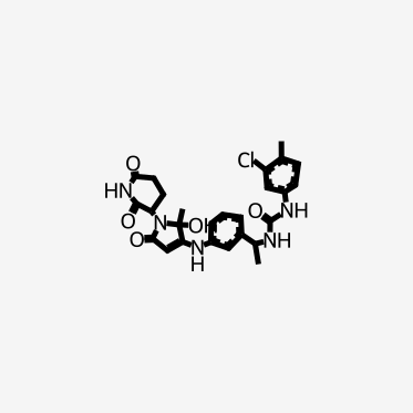 Cc1ccc(NC(=O)NC(C)c2cccc(NC3=CC(=O)N(C4CCC(=O)NC4=O)C3(C)O)c2)cc1Cl